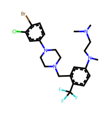 CN(C)CCN(C)c1ccc(C(F)(F)F)c(CN2CCN(c3ccc(Br)c(Cl)c3)CC2)c1